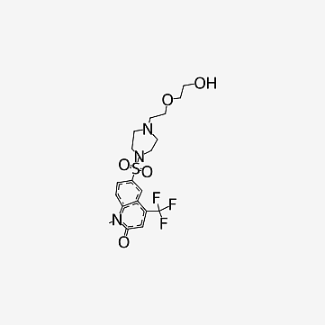 Cn1c(=O)cc(C(F)(F)F)c2cc(S(=O)(=O)N3CCN(CCOCCO)CC3)ccc21